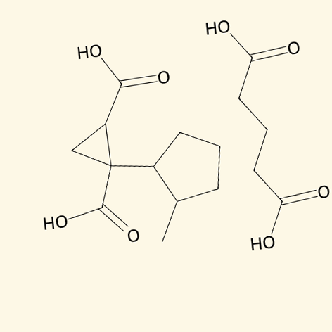 CC1CCCC1C1(C(=O)O)CC1C(=O)O.O=C(O)CCCC(=O)O